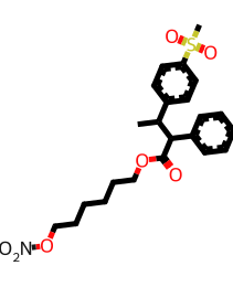 CC(c1ccc(S(C)(=O)=O)cc1)C(C(=O)OCCCCCCO[N+](=O)[O-])c1ccccc1